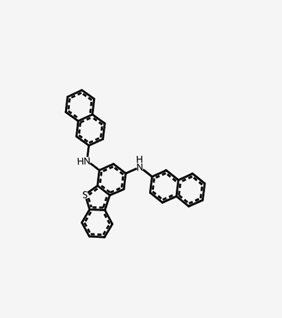 c1ccc2cc(Nc3cc(Nc4ccc5ccccc5c4)c4sc5ccccc5c4c3)ccc2c1